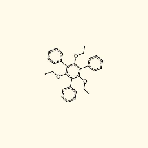 CCOc1c(-c2ccccc2)c(OCC)c(-c2ccccc2)c(OCC)c1-c1ccccc1